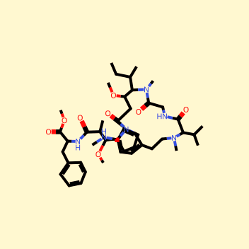 CCC(C)C(C(CC(=O)N1CCC[C@H]1C(OC)C(C)C(=O)NC(Cc1ccccc1)C(=O)OC)OC)N(C)C(=O)CNC(=O)C(C(C)C)N(C)CCc1ccc(NC)cc1